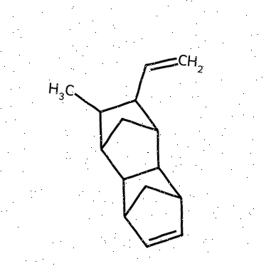 C=CC1C(C)C2CC1C1C3C=CC(C3)C21